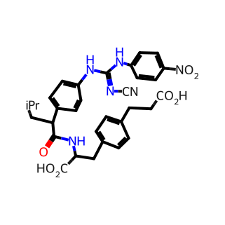 CC(C)CC(C(=O)NC(Cc1ccc(CCC(=O)O)cc1)C(=O)O)c1ccc(NC(=NC#N)Nc2ccc([N+](=O)[O-])cc2)cc1